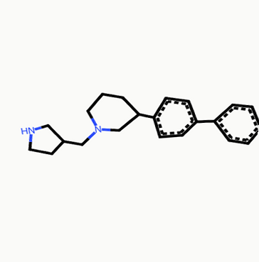 c1ccc(-c2ccc(C3CCCN(CC4CCNC4)C3)cc2)cc1